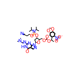 CC(OC(=O)OCC1OC(n2ncc3c(=O)[nH]c(/N=C/N(C)C)nc32)CC1OP(OCCC#N)N(C(C)C)C(C)C)c1cc2c(cc1[N+](=O)[O-])OCO2